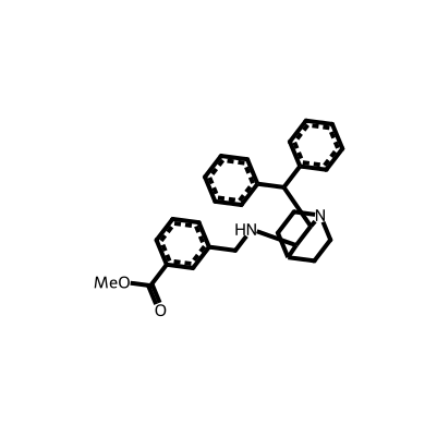 COC(=O)c1cccc(CNC2C3CCN(CC3)C2C(c2ccccc2)c2ccccc2)c1